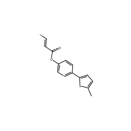 CC=CC(=O)Oc1ccc(-c2ccc(C)s2)cc1